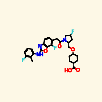 Cc1c(F)cccc1Nc1nc2ccc(CC(=O)N3C[C@@H](F)C[C@H]3CO[C@H]3CC[C@H](C(=O)O)CC3)c(F)c2o1